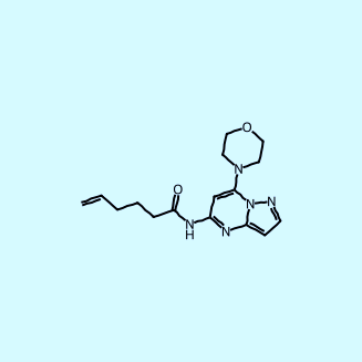 C=CCCCC(=O)Nc1cc(N2CCOCC2)n2nccc2n1